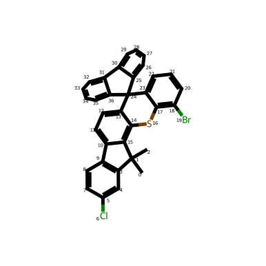 CC1(C)c2cc(Cl)ccc2-c2ccc3c(c21)Sc1c(Br)cccc1C31c2ccccc2-c2ccccc21